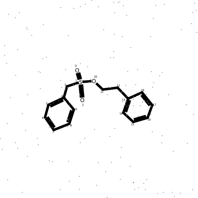 O=S(=O)(Cc1ccccc1)OCCc1ccccc1